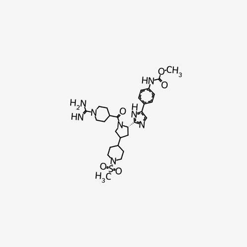 COC(=O)Nc1ccc(-c2cnc([C@@H]3CC(C4CCN(S(C)(=O)=O)CC4)CN3C(=O)C3CCN(C(=N)N)CC3)[nH]2)cc1